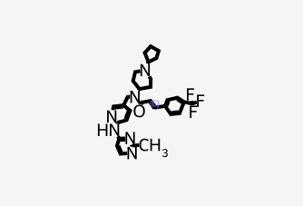 Cc1nccc(Nc2ccc(CN(C(=O)/C=C/c3ccc(C(F)(F)F)cc3)C3CCN(C4CCCC4)CC3)cn2)n1